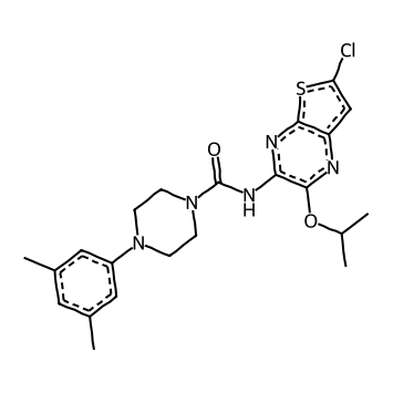 Cc1cc(C)cc(N2CCN(C(=O)Nc3nc4sc(Cl)cc4nc3OC(C)C)CC2)c1